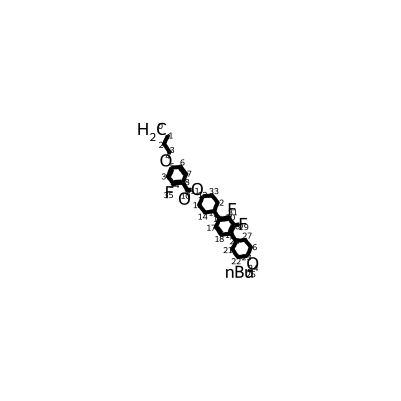 C=CCCOc1ccc(C(=O)OC2CCC(c3ccc(C4CCC(OCCCC)CC4)c(F)c3F)CC2)c(F)c1